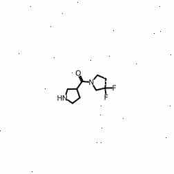 O=C(C1CCNC1)N1CCC(F)(F)C1